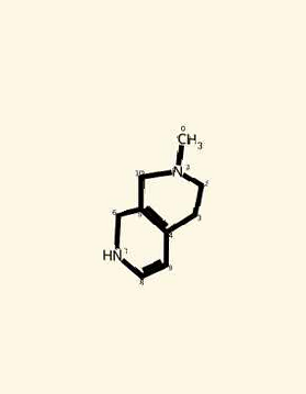 CN1CCC2=C(CNC=C2)C1